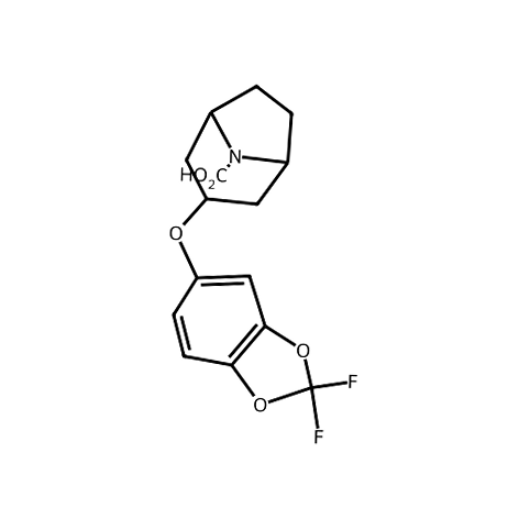 O=C(O)N1C2CCC1CC(Oc1ccc3c(c1)OC(F)(F)O3)C2